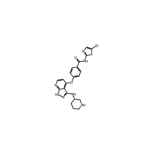 CCc1cnc(NC(=O)c2ccc(Oc3ccnc4[nH]nc(N[C@@H]5CCCNC5)c34)cc2)s1